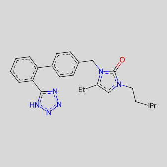 CCc1cn(CCC(C)C)c(=O)n1Cc1ccc(-c2ccccc2-c2nnn[nH]2)cc1